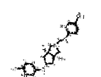 Oc1ccc(SCN2C[C@H]3C[C@H](Oc4ccc(F)nc4)C[C@H]3C2)nc1